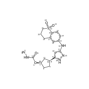 CC(C)NC(=O)O[C@@H]1CC[C@H](c2cc(Nc3ccc4c(c3)CCCS4(=O)=O)n[nH]2)C1